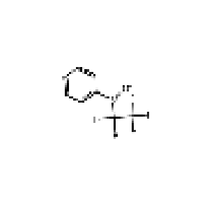 [O-][S+](c1ccccc1)C(F)(F)C(F)(F)F